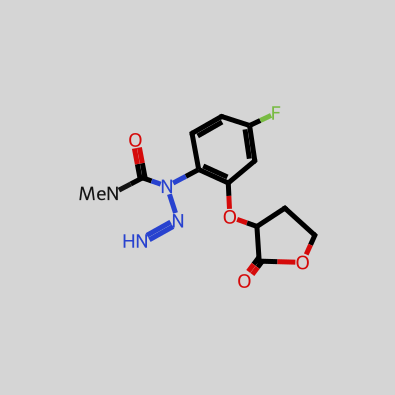 CNC(=O)N(N=N)c1ccc(F)cc1OC1CCOC1=O